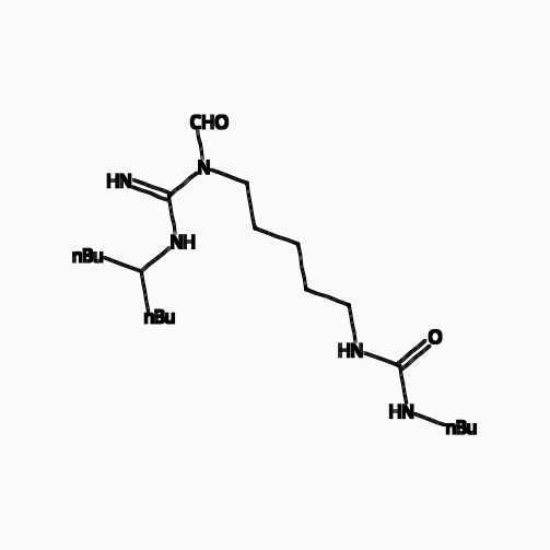 CCCCNC(=O)NCCCCCN(C=O)C(=N)NC(CCCC)CCCC